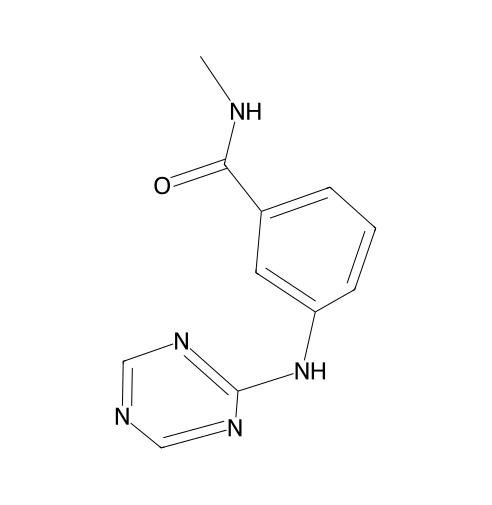 CNC(=O)c1cccc(Nc2ncncn2)c1